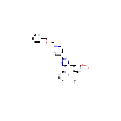 O=C(OCc1ccccc1)N1CCC(c2nc(-c3ccc4c(c3)OCO4)c(-c3cccc(C(F)(F)F)n3)[nH]2)CC1